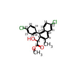 COC(=O)C(O)c1c(C)cc2cc(Cl)ccc2c1-c1ccc(Cl)cc1